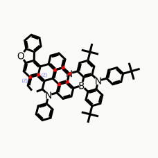 C/C=C\C=C(\c1ccccc1)C(C)N(c1ccccc1)c1ccc2c(c1)N(c1cccc(-c3cccc4oc5ccccc5c34)c1)c1cc(C(C)(C)C)cc3c1B2c1cc(C(C)(C)C)ccc1N3c1ccc(C(C)(C)C)cc1